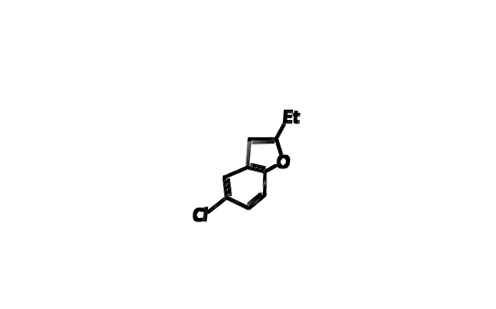 CCc1cc2cc(Cl)ccc2o1